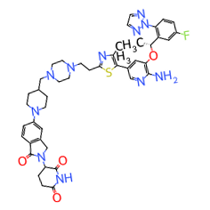 Cc1nc(CCN2CCN(CC3CCN(c4ccc5c(c4)CN(C4CCC(=O)NC4=O)C5=O)CC3)CC2)sc1-c1cnc(N)c(O[C@H](C)c2cc(F)ccc2-n2nccn2)c1